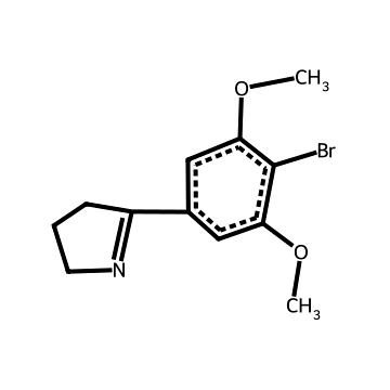 COc1cc(C2=NCCC2)cc(OC)c1Br